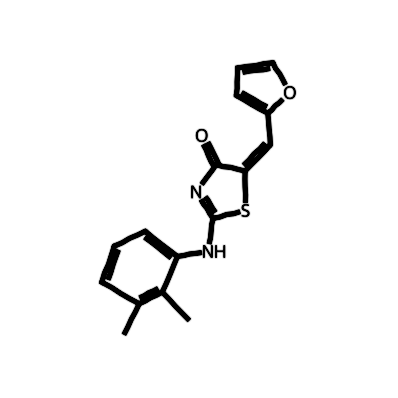 Cc1cccc(NC2=NC(=O)/C(=C\c3ccco3)S2)c1C